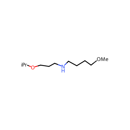 COCCCCNCCCOC(C)C